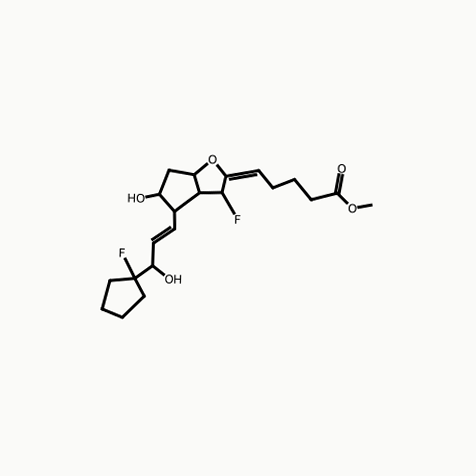 COC(=O)CCCC=C1OC2CC(O)C(C=CC(O)C3(F)CCCC3)C2C1F